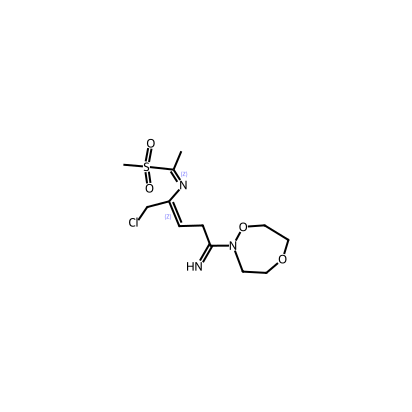 C/C(=N/C(=C\CC(=N)N1CCOCCO1)CCl)S(C)(=O)=O